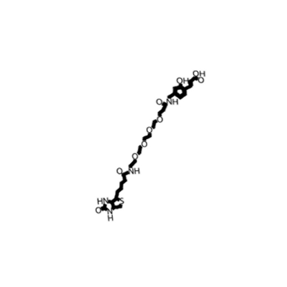 O=C(O)/C=C/c1ccc(CNC(=O)CCOCCOCCOCCOCCNC(=O)CCCCC2SCC3NC(=O)NC32)cc1O